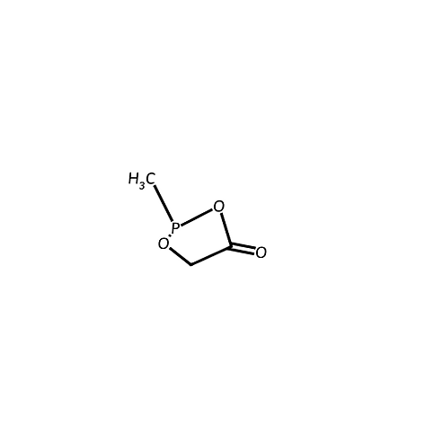 CP1OCC(=O)O1